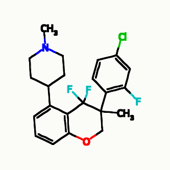 CN1CCC(c2cccc3c2C(F)(F)C(C)(c2ccc(Cl)cc2F)CO3)CC1